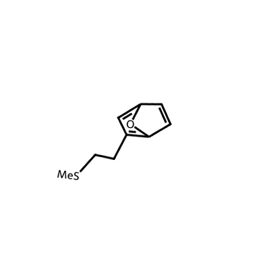 CSCCc1cc2ccc1o2